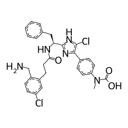 CN(C(=O)O)c1ccc(-c2nc([C@H](Cc3ccccc3)NC(=O)CCc3cc(Cl)ccc3CN)[nH]c2Cl)cc1